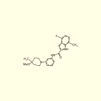 COC1(C)CCN(c2cccc(NC(=O)c3cc4c(F)ccc(C)c4[nH]3)c2)CC1